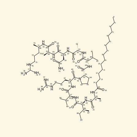 CCCCCCCCCCCCCCCC(=O)N[C@@H](C)C(=O)N[C@H](C(=O)N[C@H](C(=O)N[C@@H](CCCNC(=N)N)C(=O)N1CCC[C@H]1C(=O)N[C@H](C(=O)N[C@@H](C)C(=O)N[C@@H](CC(N)=O)C(=O)N[C@@H](C)C(=O)N[C@H](C)CCCNC(N)N)C(C)C)C(C)C)[C@@H](C)CC